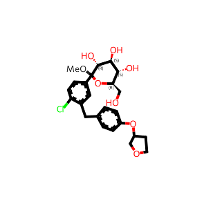 COC1(c2ccc(Cl)c(Cc3ccc(OC4CCOC4)cc3)c2)O[C@H](CO)[C@@H](O)[C@H](O)[C@H]1O